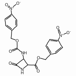 O=C(NC1C(=O)NC1C(=O)OCc1ccc([N+](=O)[O-])cc1)OCc1ccc([N+](=O)[O-])cc1